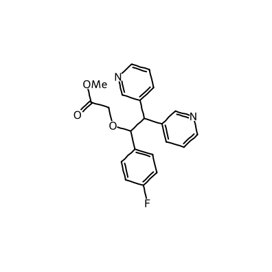 COC(=O)COC(c1ccc(F)cc1)C(c1cccnc1)c1cccnc1